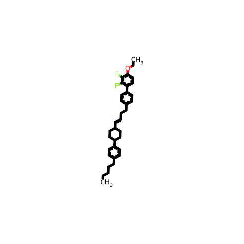 CCCCCc1ccc(C2CCC(/C=C/CCc3ccc(-c4ccc(OCC)c(F)c4F)cc3)CC2)cc1